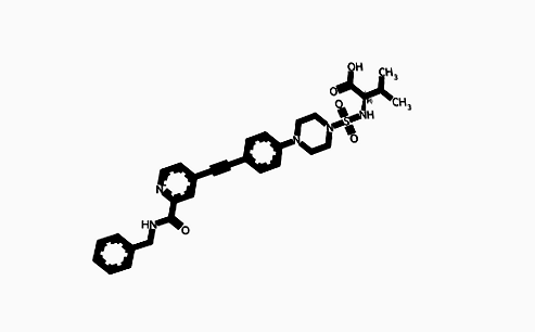 CC(C)[C@@H](NS(=O)(=O)N1CCN(c2ccc(C#Cc3ccnc(C(=O)NCc4ccccc4)c3)cc2)CC1)C(=O)O